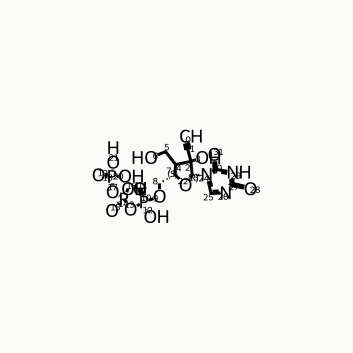 C#CC1(O)C(CO)[C@@H](COP(=O)(O)OP(=O)(O)OP(=O)(O)O)O[C@H]1n1cnc(=O)[nH]c1=O